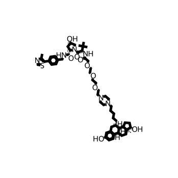 Cc1ncsc1-c1ccc(CNC(=O)[C@@H]2C[C@@H](O)CN2C(=O)[C@@H](NC(=O)COCCOCCOCCN2CCN(CCCCC[C@@H]3Cc4cc(O)ccc4[C@H]4CC[C@]5(C)[C@@H](O)CC[C@H]5[C@H]34)CC2)C(C)(C)C)cc1